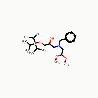 COC(CN(Cc1ccccc1)CC(O)CO[Si](C(C)C)(C(C)C)C(C)C)OC